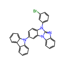 Brc1cccc(-n2c3ccc(-n4c5ccccc5c5ccccc54)cc3n3c4ccccc4nc23)c1